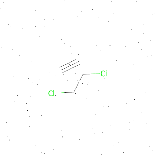 C#C.ClCCCl